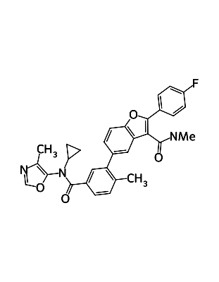 CNC(=O)c1c(-c2ccc(F)cc2)oc2ccc(-c3cc(C(=O)N(c4ocnc4C)C4CC4)ccc3C)cc12